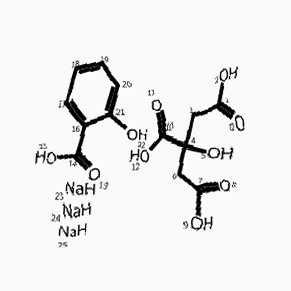 O=C(O)CC(O)(CC(=O)O)C(=O)O.O=C(O)c1ccccc1O.[NaH].[NaH].[NaH]